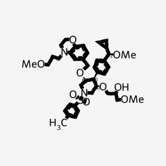 COCCCN1CCOc2ccc(CO[C@H]3CN(S(=O)(=O)c4ccc(C)cc4)C[C@@H](OCC(O)COC)[C@@H]3c3ccc([C@H](OC)C4CC4)cc3)cc21